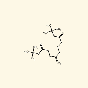 C=C(CSCC(=O)O[Si](C)(C)C)SCC(=O)O[Si](C)(C)C